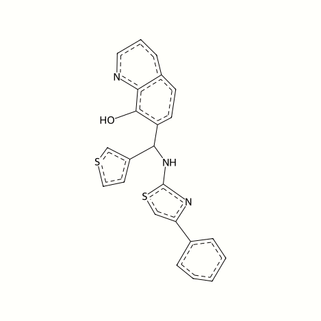 Oc1c(C(Nc2nc(-c3ccccc3)cs2)c2ccsc2)ccc2cccnc12